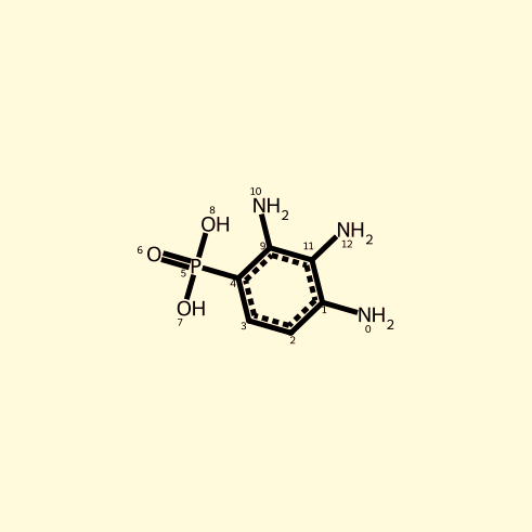 Nc1ccc(P(=O)(O)O)c(N)c1N